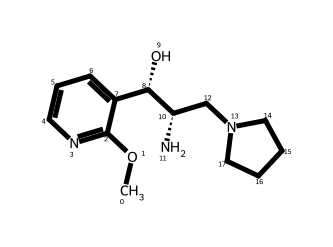 COc1ncccc1[C@H](O)[C@@H](N)CN1CCCC1